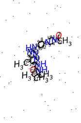 CC(=O)N1CCN(c2ccc(Nc3ncc4c(C)cc(NC(=O)NC(C)(C)C)nc4n3)cc2)CC1